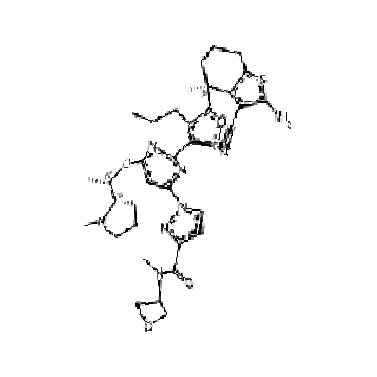 CCCc1c(-c2nc(O[C@@H](C)[C@@H]3CCCN3C)cc(-n3ccc(C(=O)N(C)C4COC4)n3)n2)noc1[C@@]1(C)CCCc2sc(N)c(C#N)c21